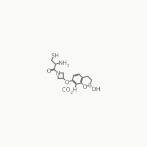 NC(CS)C(=O)N1CC(Oc2ccc3c(c2C(=O)O)OB(O)CC3)C1